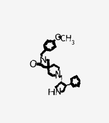 COc1ccc(CN2CC3(CCN(C[C@H]4CNC[C@@H]4c4ccccc4)CC3)CC2=O)cc1